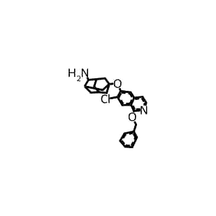 NC1C2CC3CC1CC(Oc1cc4ccnc(OCc5ccccc5)c4cc1Cl)(C3)C2